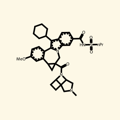 CCCS(=O)(=O)NC(=O)c1ccc2c(C3CCCCC3)c3n(c2c1)CC1(C(=O)N2C4CCC45CN(C)CC25)CC1c1cc(OC)ccc1-3